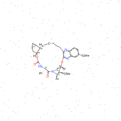 COc1ccc2nc3c(nc2c1)O[C@H]1CN(C(=O)[C@H](C(C)C)NC(=O)O[C@@H]2CC4CC4[C@H]2CCCCC3)[C@H](C(C)=O)[C@@H]1OC